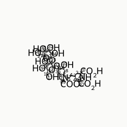 O=C(O)C1=C/C(=C/C=[N+]2\c3cc(O)c(O[C@@H]4O[C@H](CO)[C@@H](O)[C@H](O)[C@H]4O[C@@H]4O[C@H](CO)[C@@H](O)[C@H](O)[C@H]4O)cc3C[C@H]2C(=O)[O-])C[C@@H](C(=O)O)N1